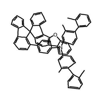 Cc1ccccc1-c1ccc(N(c2ccc(-c3cccc4c3C3(c5ccccc5-4)c4ccccc4-c4c3ccc3c4oc4ccccc43)cc2)c2ccc(-c3ccccc3C)c(C)c2)cc1C